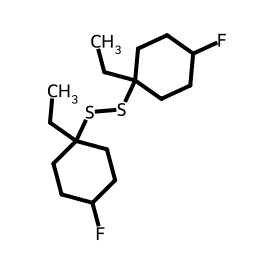 CCC1(SSC2(CC)CCC(F)CC2)CCC(F)CC1